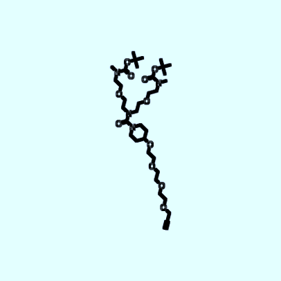 C#CCOCCOCCOCCOC1CCN(C(=O)N(CCOCCN(C)C(=O)OC(C)(C)C)CCOCCN(C)C(=O)OC(C)(C)C)CC1